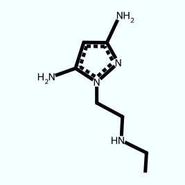 CCNCCn1nc(N)cc1N